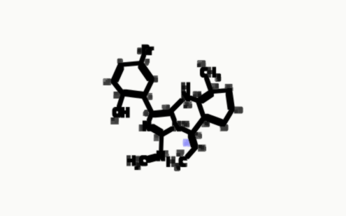 C=Nc1nc(-c2cc(Br)ccc2O)c2n1/C(=C\C)c1cccc(C)c1N2